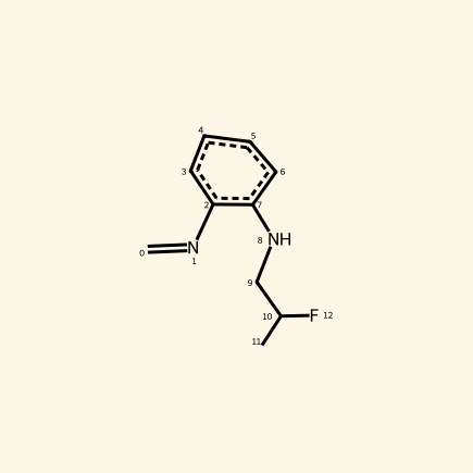 C=Nc1ccccc1NCC(C)F